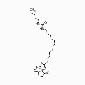 CCCCCNC(=O)NCCCC/C=C\CCCCCCC(=O)O[N+]1(O)C(=O)CCC1=O